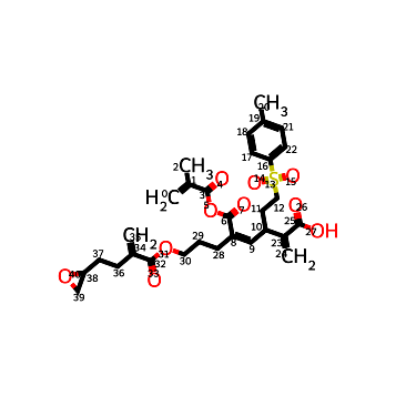 C=C(C)C(=O)OC(=O)C(=CC(CCS(=O)(=O)c1ccc(C)cc1)C(=C)C(=O)O)CCCOC(=O)C(=C)CCC1CO1